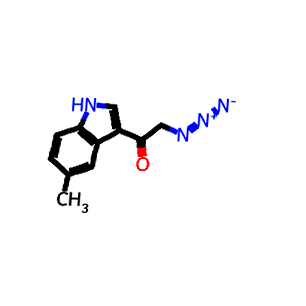 Cc1ccc2[nH]cc(C(=O)CN=[N+]=[N-])c2c1